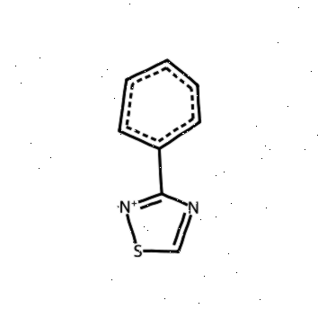 C1=NC(c2ccccc2)=[N+]S1